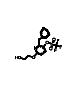 O=S(=O)(Oc1ccc(OCCO)nc1Cc1ccccc1)C(F)(F)F